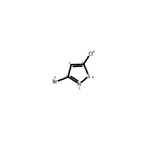 Clc1cc(Br)ns1